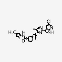 Cc1csc(NC(=O)N2CCC[C@H](CNc3nc(-c4c[nH]c5ncc(Cl)cc45)ncc3F)C2)c1